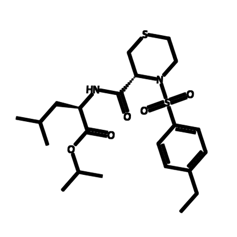 CCc1ccc(S(=O)(=O)N2CCSC[C@H]2C(=O)N[C@H](CC(C)C)C(=O)OC(C)C)cc1